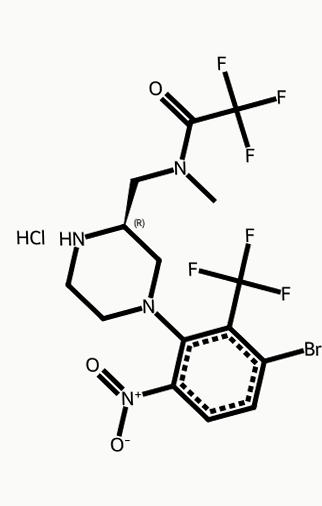 CN(C[C@H]1CN(c2c([N+](=O)[O-])ccc(Br)c2C(F)(F)F)CCN1)C(=O)C(F)(F)F.Cl